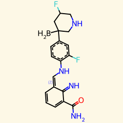 BC1(c2ccc(N/C=C3/C=CC=C(C(N)=O)C3=N)c(F)c2)CNCC(F)C1